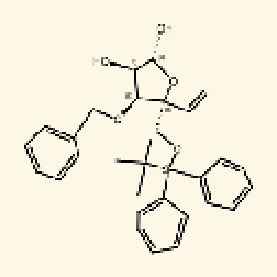 C=C[C@]1(CO[Si](c2ccccc2)(c2ccccc2)C(C)(C)C)O[C@@H](O)[C@H](O)[C@@H]1OCc1ccccc1